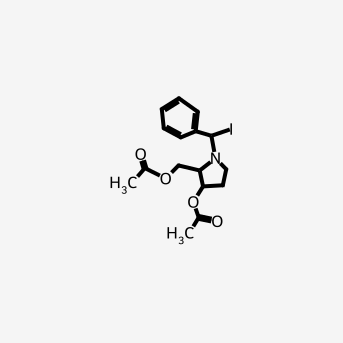 CC(=O)OCC1C(OC(C)=O)CCN1C(I)c1ccccc1